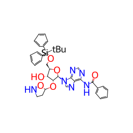 CC(C)(C)[Si](OC[C@H]1O[C@@H](n2cnc3c(NC(=O)c4ccccc4)ncnc32)[C@H](OC2CCNO2)[C@@H]1O)(c1ccccc1)c1ccccc1